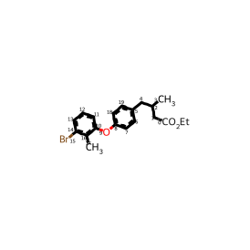 CCOC(=O)CC(C)Cc1ccc(Oc2cccc(Br)c2C)cc1